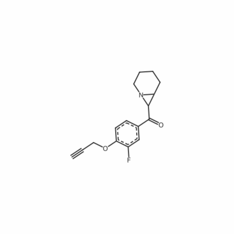 C#CCOc1ccc(C(=O)C2C3CCCCN32)cc1F